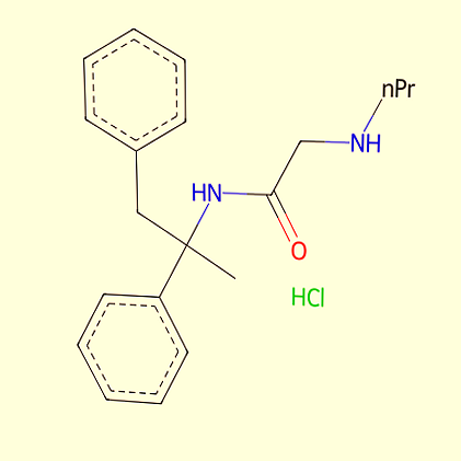 CCCNCC(=O)NC(C)(Cc1ccccc1)c1ccccc1.Cl